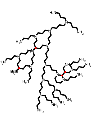 NCCCN(CCCN)CCCCN(CCCN(CCCN)CCCN)CCCN(CCCCN(CCCN(CCCN(CCCN)CCCN)CCCN(CCCN)CCCN)CCCN(CCCN(CCCN)CCCN)CCCN(CCCN)CCCN)CCCN(CCCN(CCCN)CCCN)CCCN(CCCN)CCCN